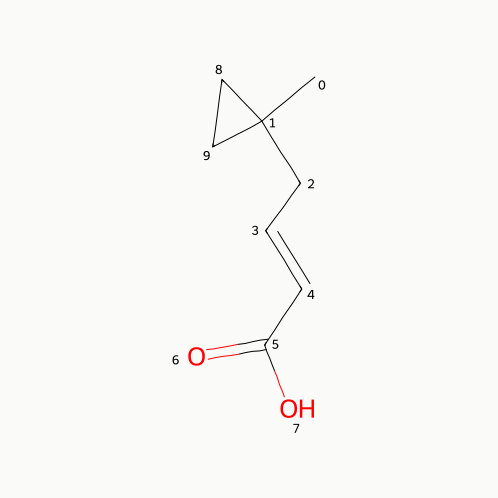 CC1(C/C=C/C(=O)O)CC1